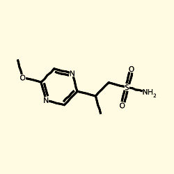 COc1cnc(C(C)CS(N)(=O)=O)cn1